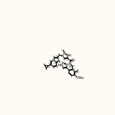 COc1ccc(-c2c[nH]nn2)c(CNC(=O)C2=CN(Cc3cn4cc(C5CC5)ccc4n3)N(C)N2)c1F